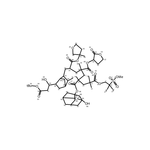 COS(=O)(=O)C(F)(F)COC(=O)C(C)(C)CC(C)(CC(C)(CC(CC1C(C)C2CC(C(O)CC(=O)OC(C)(C)C)C1C2)C(=O)OC1(C)CCOC1)C(=O)OC1CCOC1=O)C(=O)OC12CC3CC(CC(O)(C3)C1)C2